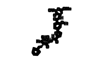 CCOc1cc(-c2ccc(C(=O)NCNC(=O)[C@H](CCc3ccccc3)[C@@H](CC)N(O)C=O)o2)ccc1C(=O)N[C@@H](CC(=O)OC)C(=O)OC